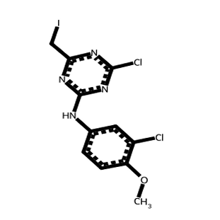 COc1ccc(Nc2nc(Cl)nc(CI)n2)cc1Cl